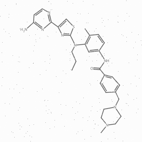 CCCN(c1nc(-c2nccc(N)n2)cs1)c1cc(NC(=O)c2ccc(CN3CCN(C)CC3)cc2)ccc1C